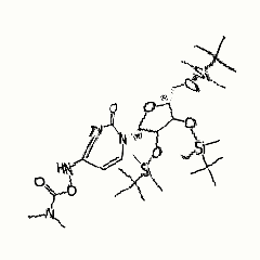 CN(C)C(=O)ONc1ccn([C@@H]2O[C@H](CO[Si](C)(C)C(C)(C)C)C(O[Si](C)(C)C(C)(C)C)C2O[Si](C)(C)C(C)(C)C)c(=O)n1